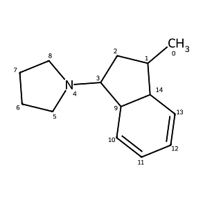 CC1CC(N2CCCC2)C2C=CC=CC12